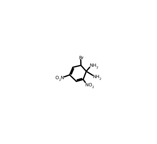 NC1(N)C([N+](=O)[O-])=CC([N+](=O)[O-])=CC1Br